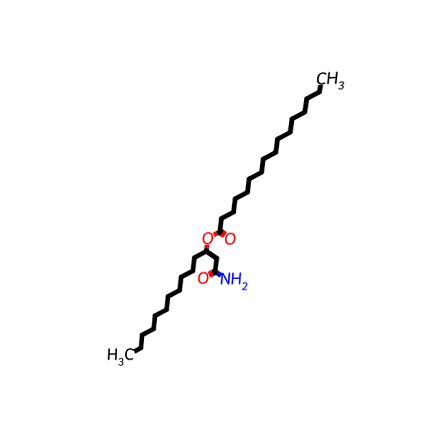 CCCCCCCCCCCCCCCC(=O)OC(CCCCCCCCCCC)CC(N)=O